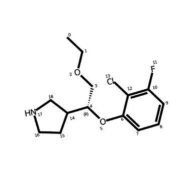 CCOC[C@H](Oc1cccc(F)c1Cl)C1CCNC1